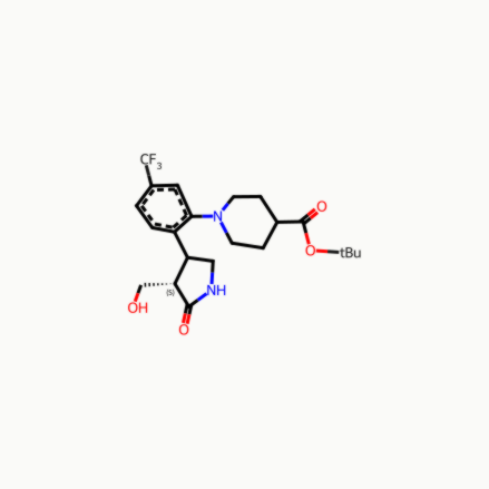 CC(C)(C)OC(=O)C1CCN(c2cc(C(F)(F)F)ccc2C2CNC(=O)[C@@H]2CO)CC1